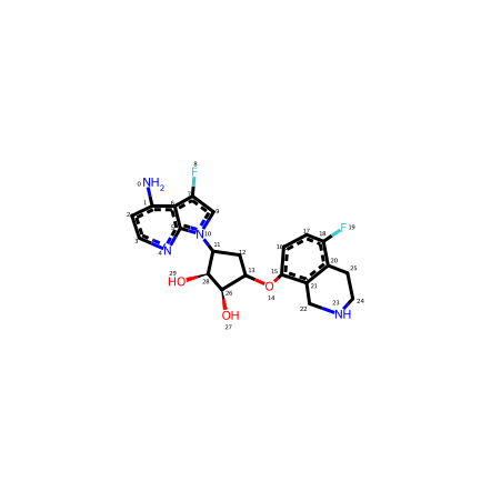 Nc1ccnc2c1c(F)cn2C1CC(Oc2ccc(F)c3c2CNCC3)[C@@H](O)[C@H]1O